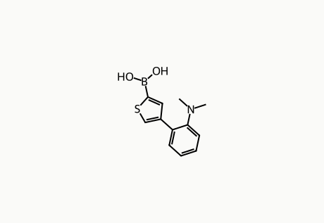 CN(C)c1ccccc1-c1csc(B(O)O)c1